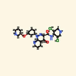 O=C(Nc1c(Cl)cncc1Cl)c1nn(-c2cccc(Oc3cccnc3)c2)c2ncccc2c1=O